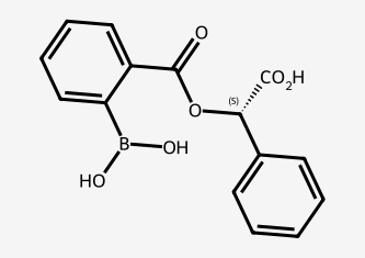 O=C(O[C@H](C(=O)O)c1ccccc1)c1ccccc1B(O)O